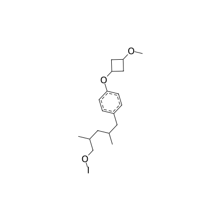 COC1CC(Oc2ccc(CC(C)CC(C)COI)cc2)C1